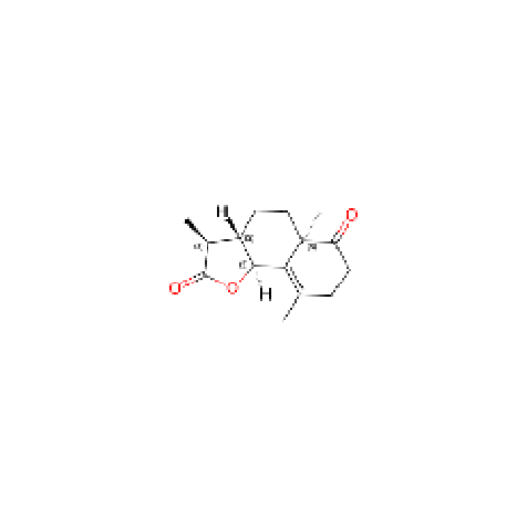 CC1=C2[C@H]3OC(=O)[C@@H](C)[C@@H]3CC[C@@]2(C)C(=O)CC1